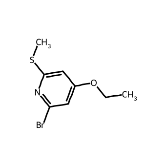 CCOc1cc(Br)nc(SC)c1